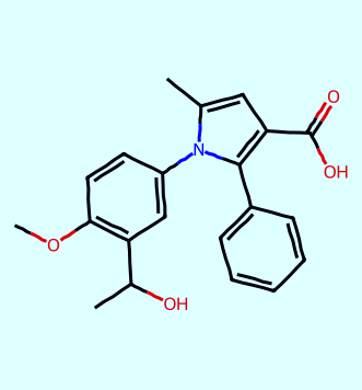 COc1ccc(-n2c(C)cc(C(=O)O)c2-c2ccccc2)cc1C(C)O